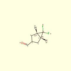 O=CC1C[C@@H]2[C@H](C1)C2(F)F